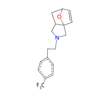 FC(F)(F)c1ccc(CCN2CC3CC4C=CC3(C2)O4)cc1